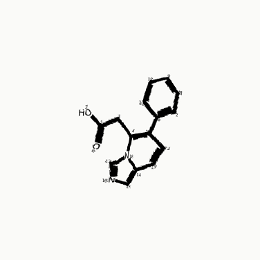 O=C(O)Cc1c(-c2ccccc2)ccc2cncn12